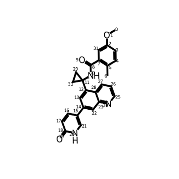 COc1ccc(C)c(C(=O)NC2(c3cc(-c4ccc(=O)[nH]c4)cc4ncccc34)CC2)c1